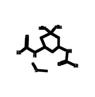 CCCCC1(CCCC)CC(NC(=O)CC)CC(NC(=O)CC)C1.[CH3][Ti][CH3]